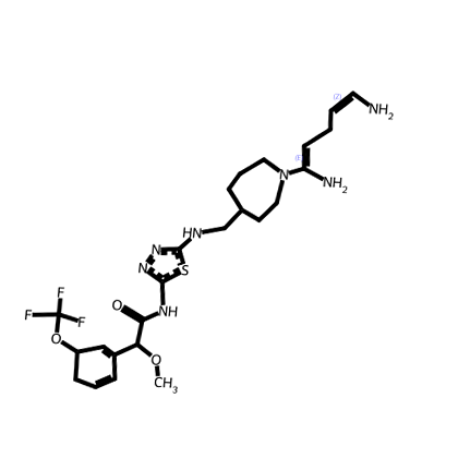 COC(C(=O)Nc1nnc(NCC2CCCN(/C(N)=C/C/C=C\N)CC2)s1)C1=CC(OC(F)(F)F)CC=C1